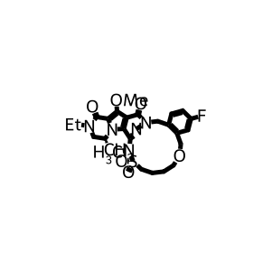 CCN1C[C@H](C)n2c(c(OC)c3c(=O)n4nc(c32)N(C)S(=O)(=O)CCCCOCc2cc(F)ccc2C4)C1=O